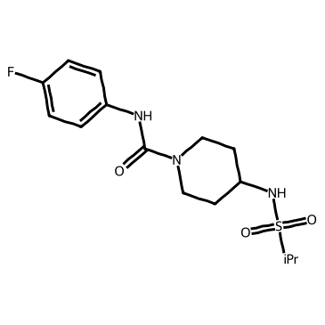 CC(C)S(=O)(=O)NC1CCN(C(=O)Nc2ccc(F)cc2)CC1